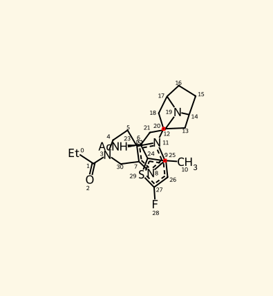 CCC(=O)N1CCc2c(nc(C)n2C2CC3CCC(C2)N3CC[C@H](NC(C)=O)c2ccc(F)s2)C1